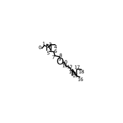 CCN(CC)CCCCOCCCCN(CC)CC